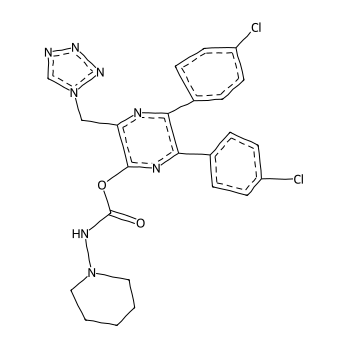 O=C(NN1CCCCC1)Oc1nc(-c2ccc(Cl)cc2)c(-c2ccc(Cl)cc2)nc1Cn1cnnn1